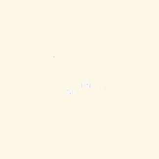 CC(=O)CC(CNC(C)C)CNC(C)C